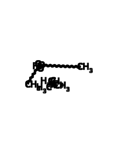 CCCCCCCCCCCCCCCCCCOS(=O)(=O)C(F)CCCCCCCCC.CC[N+](CC)(CC)CC